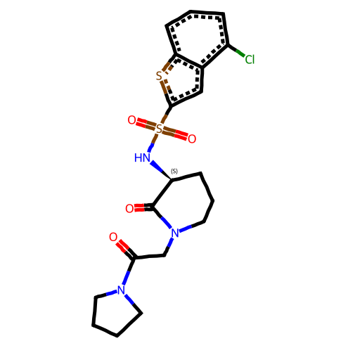 O=C(CN1CCC[C@H](NS(=O)(=O)c2cc3c(Cl)cccc3s2)C1=O)N1CCCC1